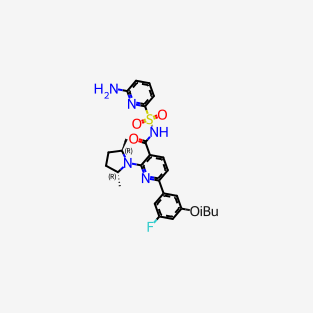 CC(C)COc1cc(F)cc(-c2ccc(C(=O)NS(=O)(=O)c3cccc(N)n3)c(N3[C@H](C)CC[C@H]3C)n2)c1